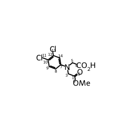 COC(=O)CN(CC(=O)O)c1ccc(Cl)c(Cl)c1